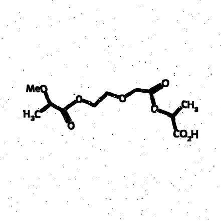 COC(C)C(=O)OCCOCC(=O)OC(C)C(=O)O